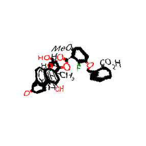 COc1ccc(OCc2ccccc2C(=O)O)c(F)c1[C@H]1O[C@@H]2C[C@H]3[C@@H]4CCC5=CC(=O)C=C[C@]5(C)[C@H]4[C@@H](O)C[C@]3(C)[C@]2(C(=O)CO)O1